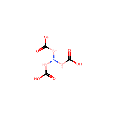 O=C(O)BN(BC(=O)O)BC(=O)O